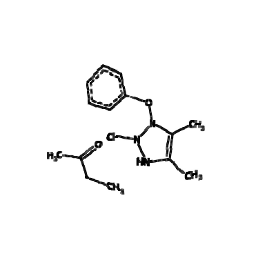 CC1=C(C)N(Oc2ccccc2)N(Cl)N1.CCC(C)=O